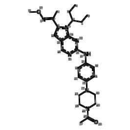 CCC(CC)n1c(C(C)=NOC)cc2cnc(Nc3ccc(N4CCN(C(C)=O)CC4)cc3)nc21